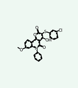 COc1ccc2c3oc(=O)c(Sc4cccc(Cl)c4)c(O)c3c(=O)n(-c3ccccc3)c2c1